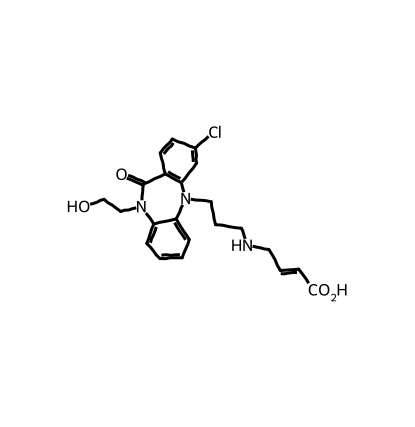 O=C(O)/C=C/CNCCCN1c2cc(Cl)ccc2C(=O)N(CCO)c2ccccc21